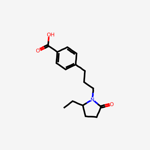 CCC1CCC(=O)N1CCCc1ccc(C(=O)O)cc1